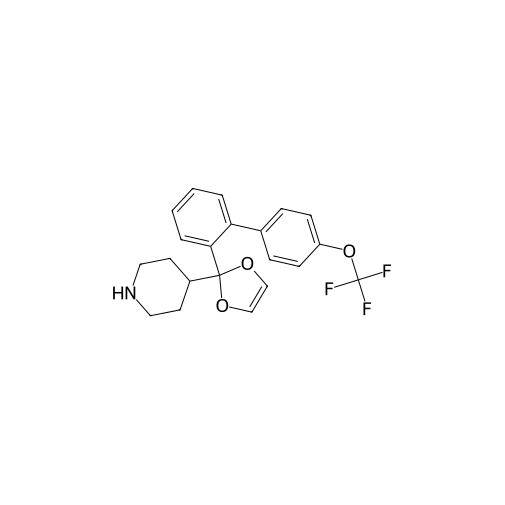 FC(F)(F)Oc1ccc(-c2ccccc2C2(C3CCNCC3)OC=CO2)cc1